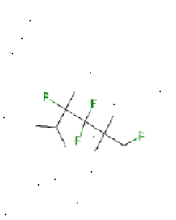 CC(C)C(C)(F)C(F)(F)C(C)(C)CF